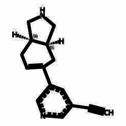 C#Cc1cncc(C2=CC[C@H]3CNC[C@H]3C2)c1